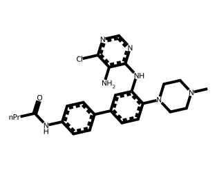 CCCC(=O)Nc1ccc(-c2ccc(N3CCN(C)CC3)c(Nc3ncnc(Cl)c3N)c2)cc1